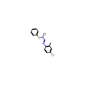 CCN(C=Nc1ccc(Cl)cc1C)Sc1ccccc1